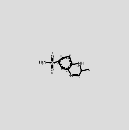 CC1C=Nc2cc(S(N)(=O)=O)ccc2N1